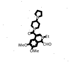 CCN1C=C(C(=O)N2CCC(N3CCCC3)CC2)c2cc(OC)c(OC)cc2C1C=O